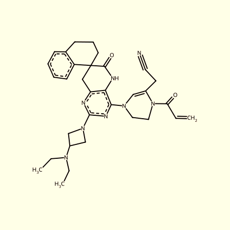 C=CC(=O)N1CCN(c2nc(N3CC(N(CC)CC)C3)nc3c2NC(=O)C2(CCCc4ccccc42)C3)C=C1CC#N